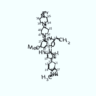 C=CC(=O)Nc1cc(NC2=CC(C3C=Cc4c(cnn4C)C3)=NNN2)c(OC)cc1N1CCC(N2CCN(C(C)C)CC2)CC1